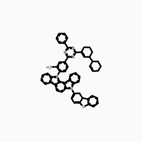 Nc1cc(-c2nc(C3=CC(C4C=CCCC4)CCC3)nc(-c3ccccc3)n2)ccc1-n1c2ccccc2c2ccc3c(c4ccccc4n3C3=CC=C4Oc5ccccc5C4C3)c21